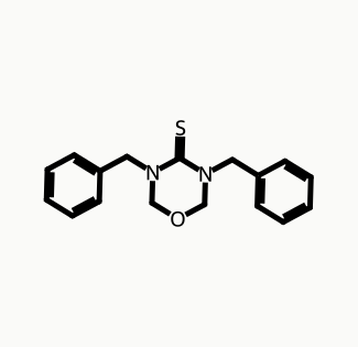 S=C1N(Cc2ccccc2)COCN1Cc1ccccc1